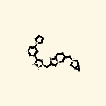 c1ccn(-c2cncc(-c3cn(Cc4cn5cc(CN6CC7CC7C6)ccc5n4)nn3)c2)c1